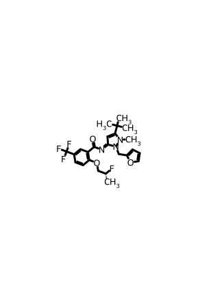 C[C@@H](F)COc1ccc(C(F)(F)F)cc1C(=O)/N=c1\cc(C(C)(C)C)n(C)n1Cc1ccco1